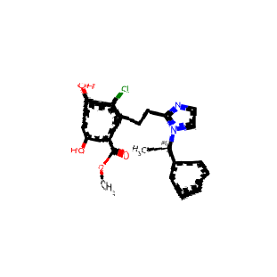 COC(=O)c1c(O)cc(O)c(Cl)c1CCc1nccn1[C@H](C)c1ccccc1